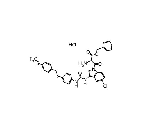 Cl.NC(C(=O)OCc1ccccc1)C(=O)n1cc(NC(=O)Nc2ccc(SCc3ccc(SC(F)(F)F)cc3)cc2)c2cc(Cl)ccc21